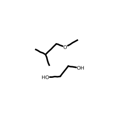 COCC(C)C.OCCO